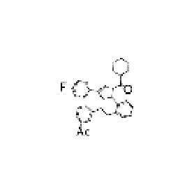 CC(=O)c1cccc(CCc2ccccc2C2CC(c3ccc(F)cc3)=CC2C(=O)C2CCCCC2)c1